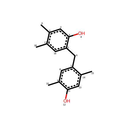 Cc1cc(O)c(Cc2cc(C)c(O)cc2C)cc1C